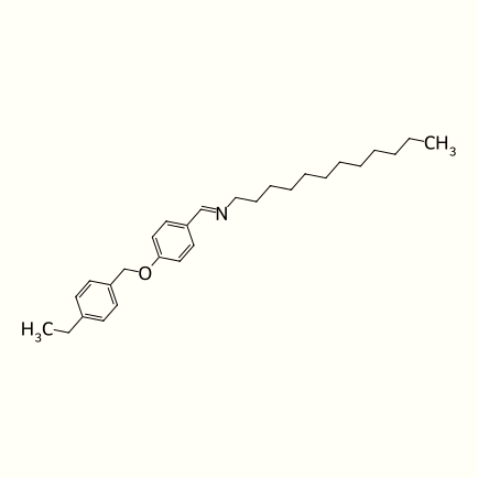 CCCCCCCCCCCC/N=C/c1ccc(OCc2ccc(CC)cc2)cc1